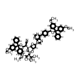 COc1ccc(C(OCc2ccc(-c3ncnc4c3ncn4[C@H]3C[C@H](OP(OC[C@H](C#N)COC(c4ccccc4)(c4ccc(OC)cc4)c4ccc(OC)cc4)N(C(C)C)C(C)C)CO3)cc2)(c2ccccc2)c2ccc(OC)cc2)cc1